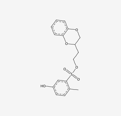 Cc1ccc(O)cc1S(=O)(=O)OCCC1COc2ccccc2O1